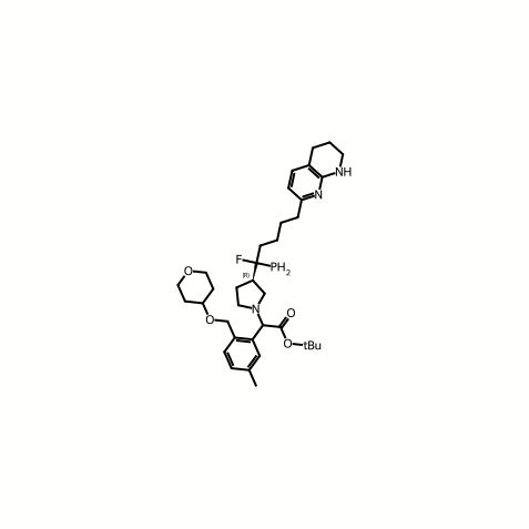 Cc1ccc(COC2CCOCC2)c(C(C(=O)OC(C)(C)C)N2CC[C@@H](C(F)(P)CCCCc3ccc4c(n3)NCCC4)C2)c1